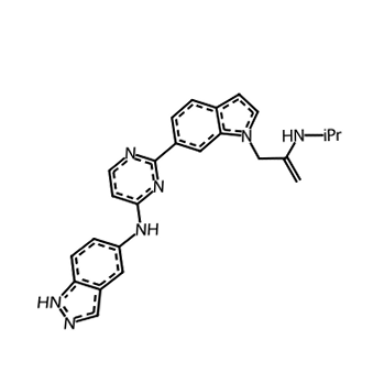 C=C(Cn1ccc2ccc(-c3nccc(Nc4ccc5[nH]ncc5c4)n3)cc21)NC(C)C